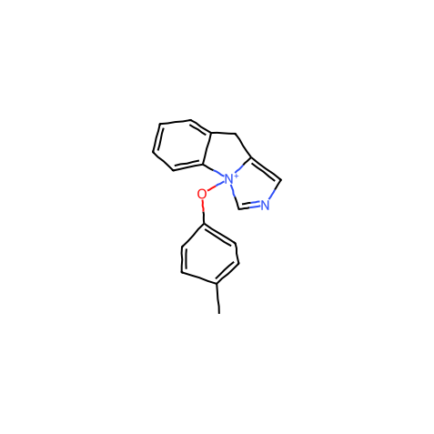 Cc1ccc(O[N+]23C=NC=C2Cc2ccccc23)cc1